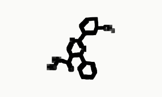 CC1C=C(c2ncc(C(=O)NO)c(-c3ccccc3)n2)C=CC1